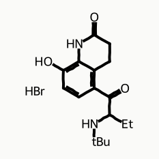 Br.CCC(NC(C)(C)C)C(=O)c1ccc(O)c2c1CCC(=O)N2